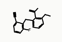 C#Cc1cccc(F)c1Cc1cccc(CC)c1C(=C)C